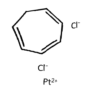 C1=CC=CCC=C1.[Cl-].[Cl-].[Pt+2]